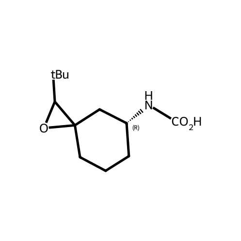 CC(C)(C)C1OC12CCC[C@@H](NC(=O)O)C2